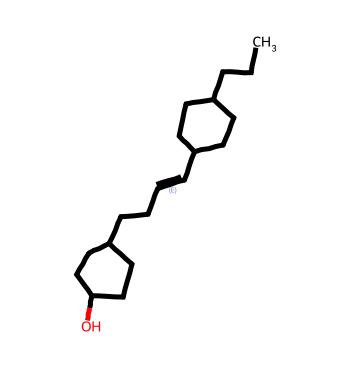 CCCC1CCC(/C=C/CCC2CCC(O)CC2)CC1